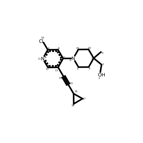 CC1(CO)CCN(c2cc(Cl)ncc2C#CC2CC2)CC1